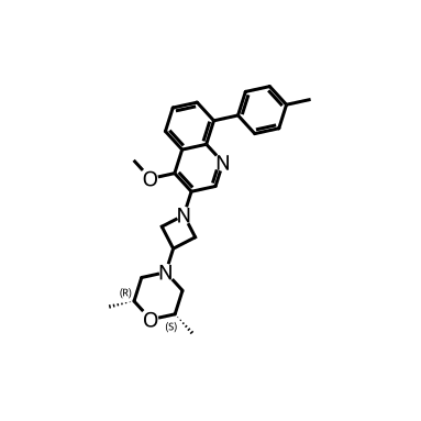 COc1c(N2CC(N3C[C@@H](C)O[C@@H](C)C3)C2)cnc2c(-c3ccc(C)cc3)cccc12